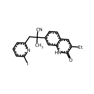 CCc1cc2ccc(C(C)(C#N)Cc3cccc(I)n3)cc2[nH]c1=O